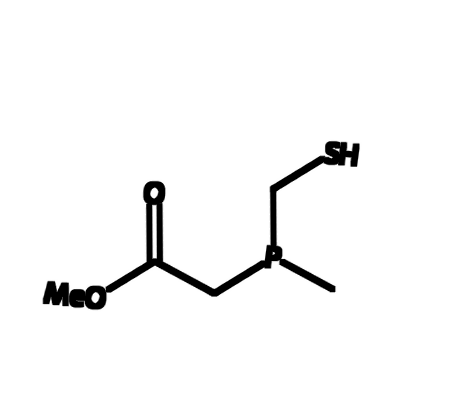 COC(=O)CP(C)CS